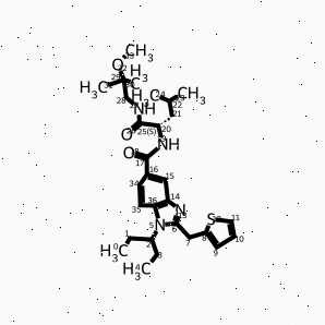 CCC(CC)n1c(Cc2cccs2)nc2cc(C(=O)N[C@@H](CC(C)C)C(=O)NCC(C)(C)OC)ccc21